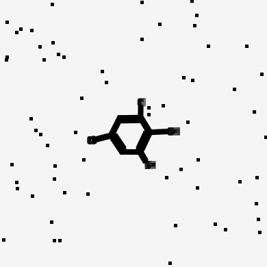 Oc1c(S)cc(Cl)cc1Cl